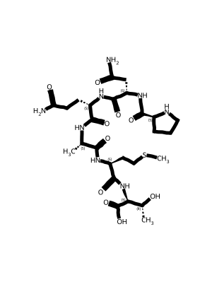 CSCC[C@H](NC(=O)[C@H](C)NC(=O)[C@H](CCC(N)=O)NC(=O)[C@H](CC(N)=O)NC(=O)[C@@H]1CCCN1)C(=O)N[C@H](C(=O)O)[C@@H](C)O